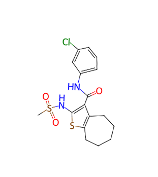 CS(=O)(=O)Nc1sc2c(c1C(=O)Nc1cccc(Cl)c1)CCCCC2